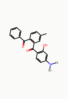 CCN(CC)c1ccc(C(=O)c2cc(C)ccc2C(=O)c2ccccc2)c(O)c1